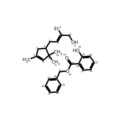 CC/C(=C\CC1CC(C)=CC1(C)C)CO.O=C(OCc1ccccc1)c1ccccc1O